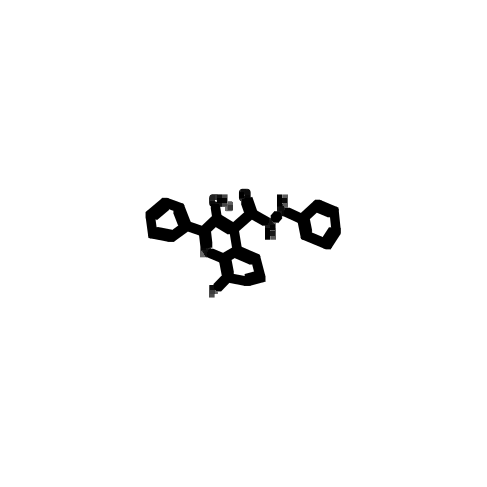 Cc1c(-c2ccccc2)nc2c(F)cccc2c1C(=O)NNc1ccccc1